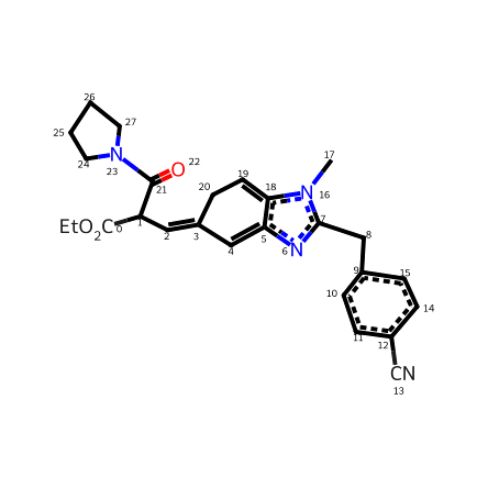 CCOC(=O)C(C=C1C=c2nc(Cc3ccc(C#N)cc3)n(C)c2=CC1)C(=O)N1CCCC1